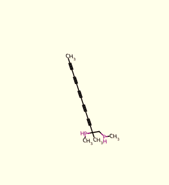 CC#CC#CC#CC#CC#CC(C)(CPC)PC